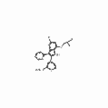 CC(=O)Nc1cc(-c2[nH]c3c(OCC(F)F)cc(F)nc3c2-c2ccccn2)ccn1